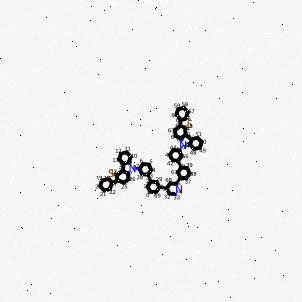 c1cc(-c2cccc(-n3c4ccccc4c4c5sc6ccccc6c5ccc43)c2)cc(-c2ccnc(-c3cccc(-c4cccc(-n5c6ccccc6c6c7sc8ccccc8c7ccc65)c4)c3)c2)c1